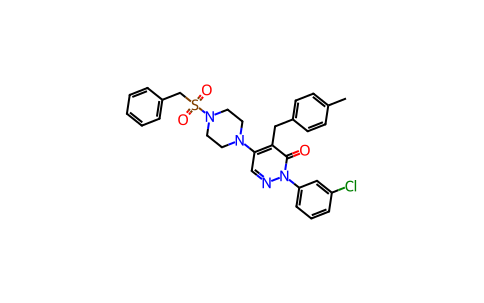 Cc1ccc(Cc2c(N3CCN(S(=O)(=O)Cc4ccccc4)CC3)cnn(-c3cccc(Cl)c3)c2=O)cc1